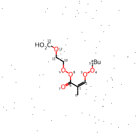 CC(=COOC(C)(C)C)C(=O)OOCCOC(=O)O